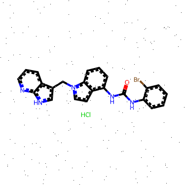 Cl.O=C(Nc1ccccc1Br)Nc1cccc2c1ccn2Cc1c[nH]c2ncccc12